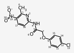 Cc1nc(NC(=O)COc2ccc(Cl)cc2)ccc1[N+](=O)[O-]